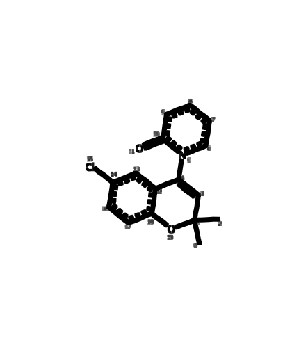 CC1(C)C=C(n2ccccc2=O)c2cc(Cl)ccc2O1